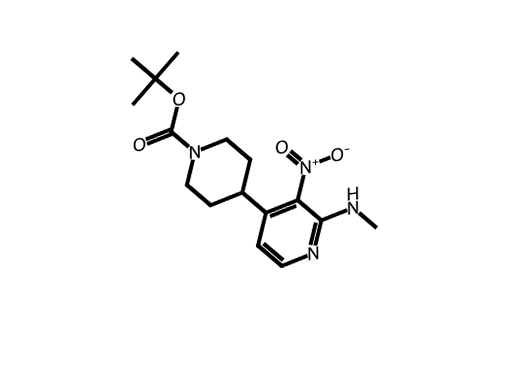 CNc1nccc(C2CCN(C(=O)OC(C)(C)C)CC2)c1[N+](=O)[O-]